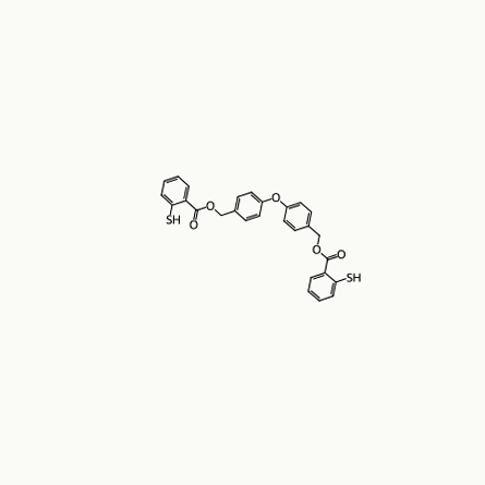 O=C(OCc1ccc(Oc2ccc(COC(=O)c3ccccc3S)cc2)cc1)c1ccccc1S